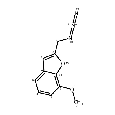 COc1cccc2cc(CN=[N+]=[N-])oc12